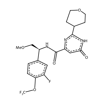 COC[C@@H](NC(=O)c1cc(=O)[nH]c(C2CCOCC2)n1)c1ccc(OC(F)(F)F)c(F)c1